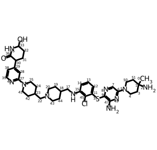 CC1(N)CCN(c2cnc(Sc3cccc(NCC4CCN(CC5CCN(c6cc(C7CCC(O)NC7=O)ccn6)CC5)CC4)c3Cl)c(N)n2)CC1